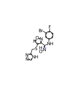 O/N=C(/Nc1ccc(F)c(Br)c1)c1nonc1SCc1nnc[nH]1